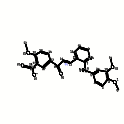 COc1ccc(Nc2ncccc2/C=C/C(=O)c2ccc(OC)c([N+](=O)[O-])c2)cc1OC